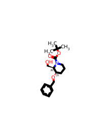 CC(C)(C)OC(=O)N1CCC[C@H](OCc2ccccc2)[C@H]1CO